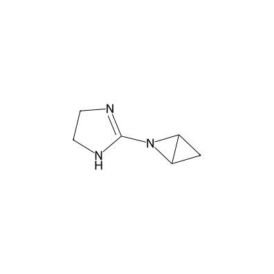 C1CNC(N2C3CC32)=N1